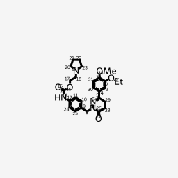 CCOc1cc(C2=NN(Cc3ccc(NC(=O)OCCN4CCCC4)cc3)C(=O)CC2)ccc1OC